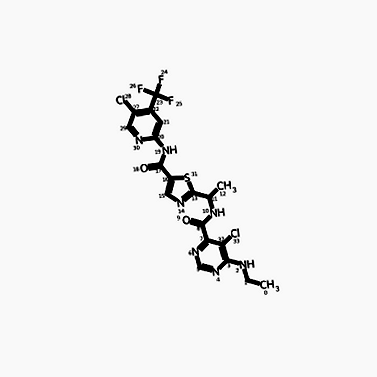 CCNc1ncnc(C(=O)NC(C)c2ncc(C(=O)Nc3cc(C(F)(F)F)c(Cl)cn3)s2)c1Cl